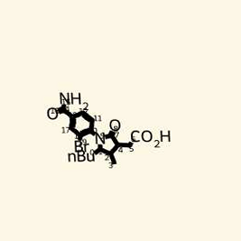 CCCCC1C(C)C(CC(=O)O)C(=O)N1c1ccc(C(N)=O)cc1Br